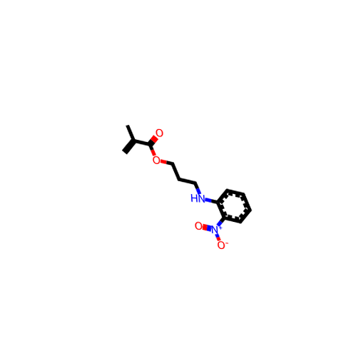 C=C(C)C(=O)OCCCNc1ccccc1[N+](=O)[O-]